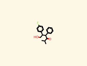 CC(C)C(=O)C(c1ccccc1)C(CO)c1ccc(F)cc1